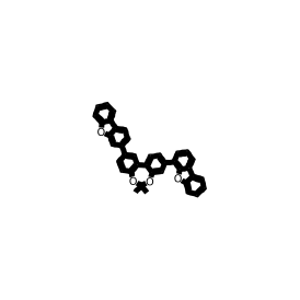 CC1(C)Oc2cc(-c3cccc4c3oc3ccccc34)ccc2-c2cc(-c3ccc4c(c3)oc3ccccc34)ccc2O1